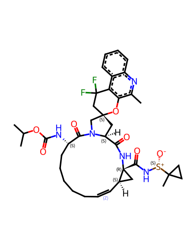 Cc1nc2ccccc2c2c1O[C@@]1(C[C@H]3C(=O)N[C@]4(C(=O)N[S@+]([O-])C5(C)CC5)C[C@H]4/C=C\CCCCC[C@H](NC(=O)OC(C)C)C(=O)N3C1)CC2(F)F